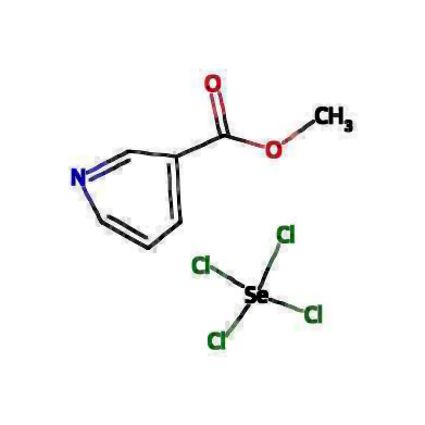 COC(=O)c1cccnc1.Cl[Se](Cl)(Cl)Cl